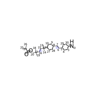 CNc1ccc(/C=C/c2ccc(C(C)(C)/C=C/C(C)(C)COC(=O)C(C)C)cc2)cc1